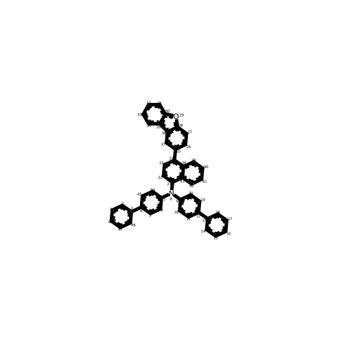 c1ccc(-c2ccc(N(c3ccc(-c4ccccc4)cc3)c3ccc(-c4ccc5oc6ccccc6c5c4)c4ccccc34)cc2)cc1